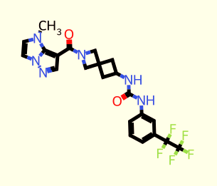 Cn1ccn2ncc(C(=O)N3CC4(CC(NC(=O)Nc5cccc(C(F)(F)C(F)(F)F)c5)C4)C3)c12